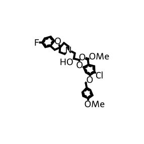 COC(=O)c1cc(Cl)c(OCc2ccc(OC)cc2)cc1OC[C@H](O)CN1CCC2(CC1)Cc1cc(F)ccc1O2